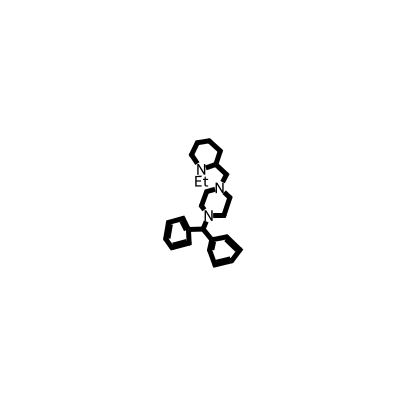 CCN1CCCCC1CN1CCN(C(c2ccccc2)c2ccccc2)CC1